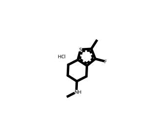 CNC1CCc2sc(C)c(F)c2C1.Cl